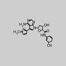 Cn1ccc(-c2cn([C@H]3C[C@H](O)[C@@H](C(=O)NC4=CC(C#N)CC=C4)O3)c3ncnc(N)c23)n1